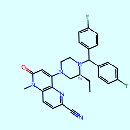 CC[C@H]1CN(c2cc(=O)n(C)c3ccc(C#N)nc23)CCN1C(c1ccc(F)cc1)c1ccc(F)cc1